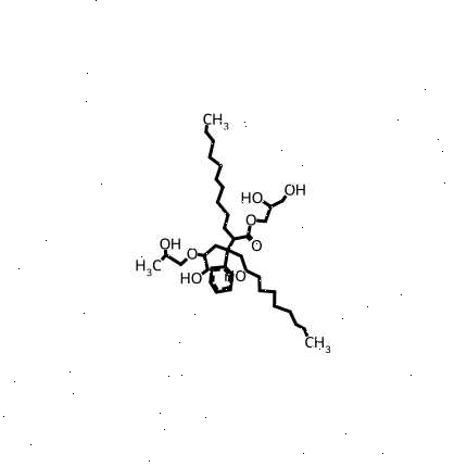 CCCCCCCCCCC(C(=O)OCC(O)CO)C(CC(O)CCCCCCCC)(CC(CO)OCC(C)O)c1ccccc1